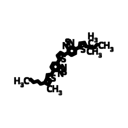 CCCCCC1c2cc(-c3ccc(-c4ccc(-c5ccc(-c6ccc(C(C)(C)CCC)s6)c6nsnc56)s4)c4nsnc34)sc2C1C